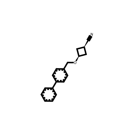 N#C[C@H]1C[C@@H](OCc2ccc(-c3ccccc3)cc2)C1